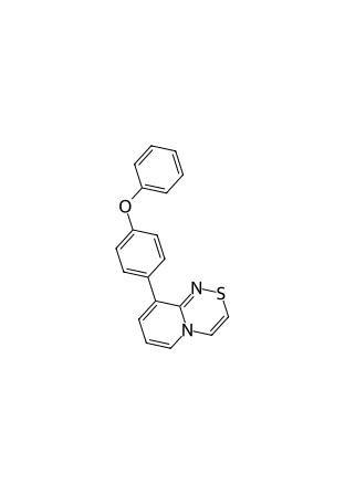 C1=CN2C=CSN=C2C(c2ccc(Oc3ccccc3)cc2)=C1